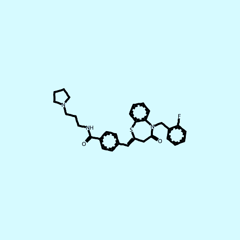 O=C(NCCCN1CCCC1)c1ccc(C=C2CC(=O)N(Cc3ccccc3F)c3ccccc3S2)cc1